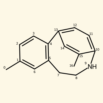 Cc1ccc2c(c1)CCNc1ccc-2cc1C